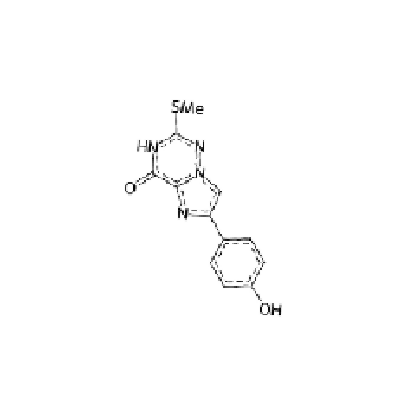 CSc1nn2cc(-c3ccc(O)cc3)nc2c(=O)[nH]1